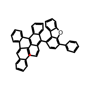 c1ccc(-c2ccc(-c3c4ccccc4c(-c4ccccc4-c4ccc5ccccc5c4)c4ccccc34)c3c2oc2ccccc23)cc1